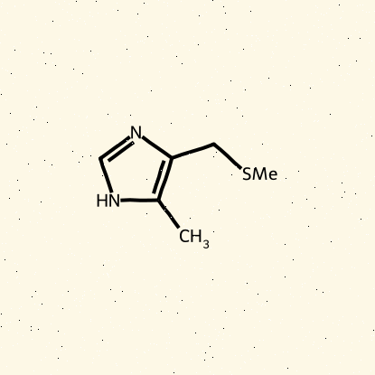 CSCc1nc[nH]c1C